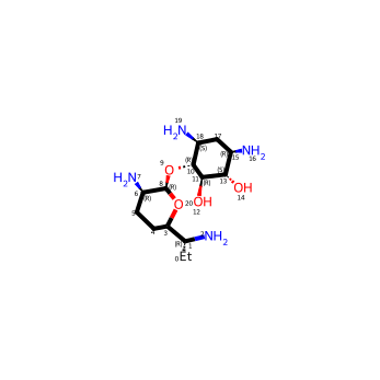 CC[C@@H](N)C1CC[C@@H](N)[C@@H](O[C@H]2[C@H](O)[C@@H](O)[C@H](N)C[C@@H]2N)O1